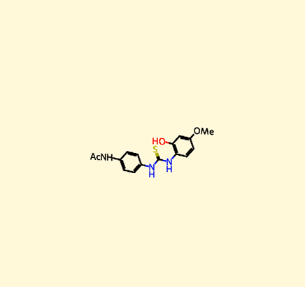 COc1ccc(NC(=S)Nc2ccc(NC(C)=O)cc2)c(O)c1